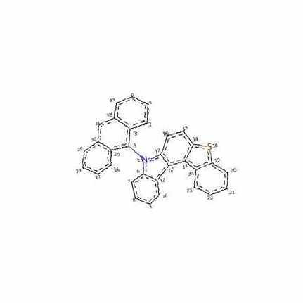 c1ccc2c(-n3c4ccccc4c4c5c(ccc43)sc3ccccc35)c3ccccc3cc2c1